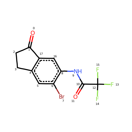 O=C1CCc2cc(Br)c(NC(=O)C(F)(F)F)cc21